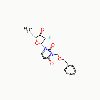 CC[C@H]1O[C@@H](n2ccc(=O)n(COCc3ccccc3)c2=O)[C@@H](F)C1=O